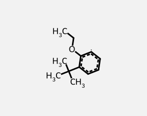 CCOc1[c]cccc1C(C)(C)C